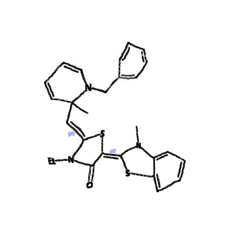 CCn1c(=O)/c(=C2\Sc3ccccc3N2C)s/c1=C\C1(C)C=CC=CN1Cc1ccccc1